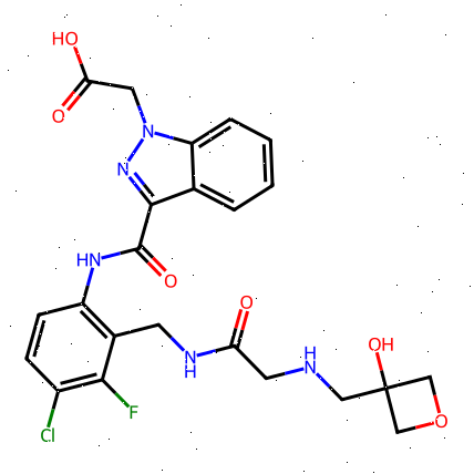 O=C(O)Cn1nc(C(=O)Nc2ccc(Cl)c(F)c2CNC(=O)CNCC2(O)COC2)c2ccccc21